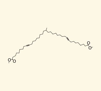 COC(=O)CCCCCCCC#CCCCCCCCCC(C)CCCCCCCCC#CCCCCCCCC(=O)OC